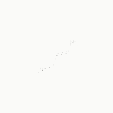 B/C=C/CN